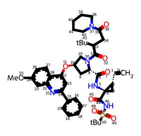 C=C[C@@H]1C[C@]1(NC(=O)[C@@H]1C[C@@H](Oc2cc(-c3ccccc3)nc3cc(OC)ccc23)CN1C(=O)C(CC(=O)N1CCCCC1)C(C)(C)C)C(=O)NS(=O)(=O)C(C)(C)C